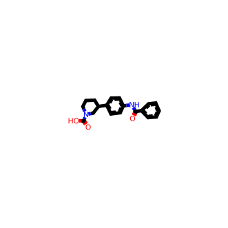 O=C(Nc1ccc(C2CCCN(C(=O)O)C2)cc1)c1ccccc1